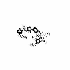 COc1ccnc(NCc2ccn(-c3ccc(CC(NC(=O)c4c(C)cc(C)cc4C)C(=O)O)cc3)n2)c1